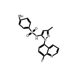 Cc1cc(NS(=O)(=O)c2ccc(C(C)(C)C)cc2)n(-c2ccc(F)c3ncccc23)n1